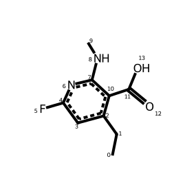 CCc1cc(F)nc(NC)c1C(=O)O